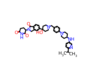 CC(C)c1ccc(NC2CCN(c3ccc(CN4CCC(O)(c5ccc6c(c5)CN(C5CCC(=O)NC5=O)C6=O)CC4)cc3)CC2)cn1